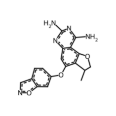 CC1COc2c1c(Oc1ccc3cnoc3c1)cc1nc(N)nc(N)c21